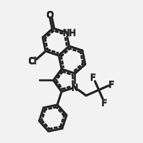 Cc1c(-c2ccccc2)n(CC(F)(F)F)c2ccc3[nH]c(=O)cc(Cl)c3c12